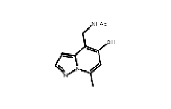 CC(=O)NCc1c(O)cc(C)n2nccc12